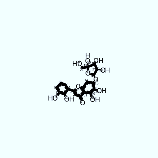 O=c1cc(-c2cccc(O)c2O)oc2cc(O[C@H]3O[C@](O)(CO)[C@@H](O)[C@H]3O)c(O)c(O)c12